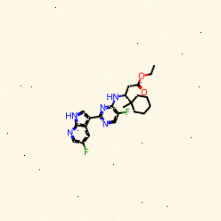 CCOC(=O)CC(Nc1nc(-c2c[nH]c3ncc(F)cc23)ncc1F)C1(C)CCCCC1